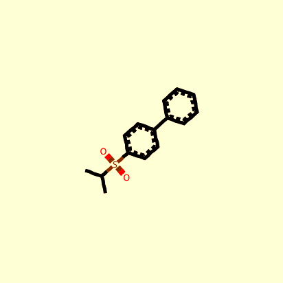 CC(C)S(=O)(=O)c1ccc(-c2ccccc2)cc1